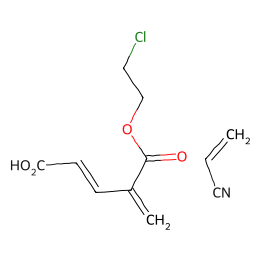 C=C(C=CC(=O)O)C(=O)OCCCl.C=CC#N